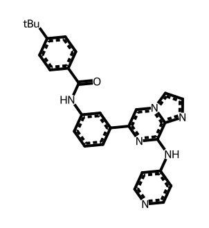 CC(C)(C)c1ccc(C(=O)Nc2cccc(-c3cn4ccnc4c(Nc4ccncc4)n3)c2)cc1